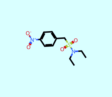 CCN(CC)S(=O)(=O)Cc1ccc([N+](=O)[O-])cc1